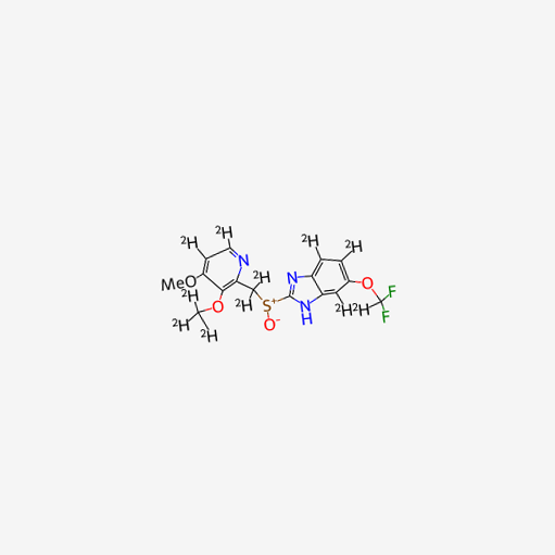 [2H]c1nc(C([2H])([2H])[S+]([O-])c2nc3c([2H])c([2H])c(OC([2H])(F)F)c([2H])c3[nH]2)c(OC([2H])([2H])[2H])c(OC)c1[2H]